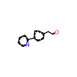 O=CCc1ccc(-c2ccccn2)cc1